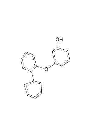 Oc1cccc(Oc2ccccc2-c2ccccc2)c1